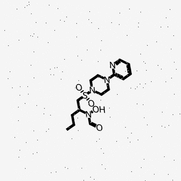 CCCC(CS(=O)(=O)N1CCN(c2ccccn2)CC1)N(O)C=O